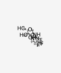 C#C[C@@H]1OCC(Nc2nccc(C(F)(F)F)n2)C(O)C1O